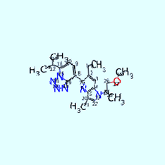 CCc1cc2c(nc1-c1ccc(C(C)C)n3nnnc13)c(C)cn2[C@@H](C)COC